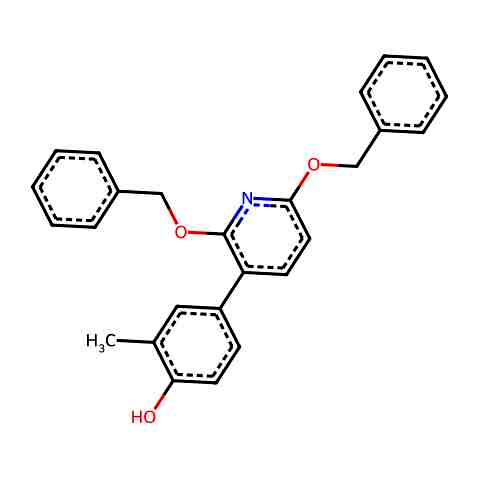 Cc1cc(-c2ccc(OCc3ccccc3)nc2OCc2ccccc2)ccc1O